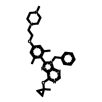 Cc1cc(OCCN2CCN(C)CC2)cc(C)c1-c1nc2c(OC3(C)CC3)ncnc2n1Cc1ccccc1